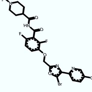 CN1CCC(C(=O)NC(=O)c2c(F)ccc(OCc3nc(-c4ccc(OC(F)(F)F)cn4)c(Br)o3)c2F)CC1